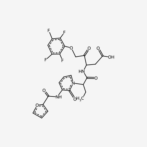 CCC(C(=O)NC(CC(=O)O)C(=O)COc1c(F)c(F)cc(F)c1F)n1cccc(NC(=O)c2ccco2)c1=O